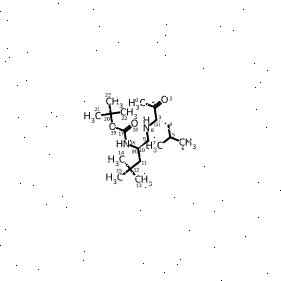 CC(=O)[C@H](CC(C)C)NC[C@@H](CC(C)(C)C)NC(=O)OC(C)(C)C